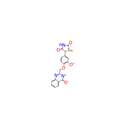 C=S1C(=O)NC(=O)C1c1ccc(OCc2nc3ccccc3c(=O)n2C)c(OC)c1